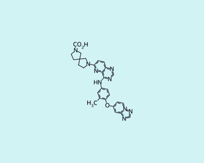 Cc1cc(Nc2ncnc3ccc(N4CCC5(CCN(C(=O)O)C5)C4)nc23)ccc1Oc1ccn2ncnc2c1